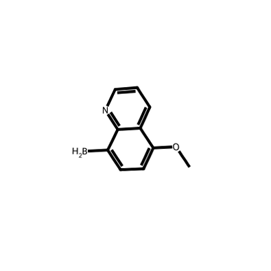 Bc1ccc(OC)c2cccnc12